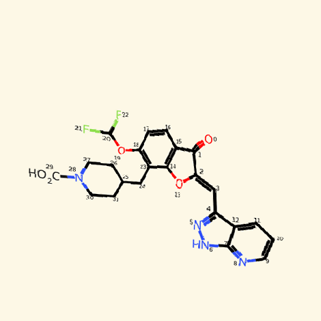 O=C1/C(=C/c2n[nH]c3ncccc23)Oc2c1ccc(OC(F)F)c2CC1CCN(C(=O)O)CC1